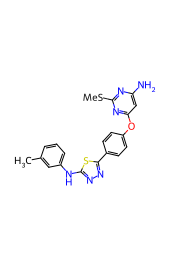 CSc1nc(N)cc(Oc2ccc(-c3nnc(Nc4cccc(C)c4)s3)cc2)n1